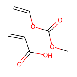 C=CC(=O)O.C=COC(=O)OC